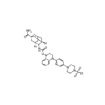 CCS(=O)(=O)N1CCN(c2ccc(N3CCN(OC(=O)NC4[C@@H]5CC6C[C@H]4CC(C(N)=O)(C6)C5)c4ccccc43)nc2)CC1